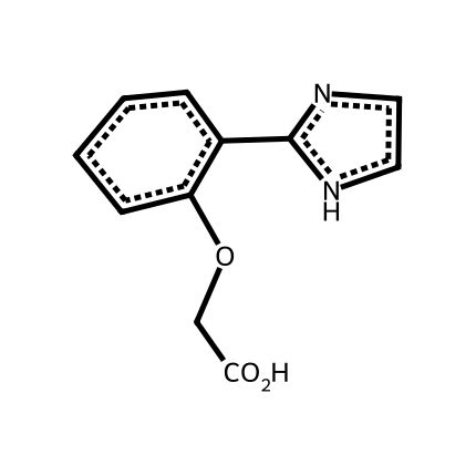 O=C(O)COc1ccccc1-c1ncc[nH]1